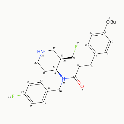 CC(C)COc1ccc(CCC(=O)N(Cc2ccc(F)cc2)[C@H]2CCNC[C@H]2CF)cc1